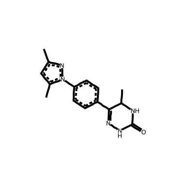 Cc1cc(C)n(-c2ccc(C3=NNC(=O)NC3C)cc2)n1